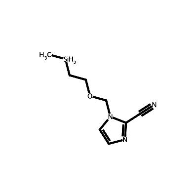 C[SiH2]CCOCn1ccnc1C#N